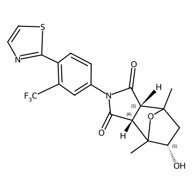 CC12C[C@H](O)C(C)(O1)[C@@H]1C(=O)N(c3ccc(-c4nccs4)c(C(F)(F)F)c3)C(=O)[C@@H]12